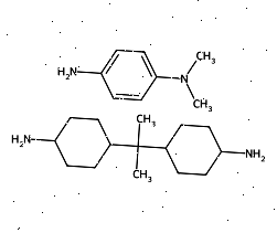 CC(C)(C1CCC(N)CC1)C1CCC(N)CC1.CN(C)c1ccc(N)cc1